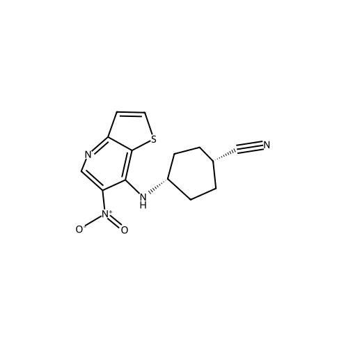 N#C[C@H]1CC[C@@H](Nc2c([N+](=O)[O-])cnc3ccsc23)CC1